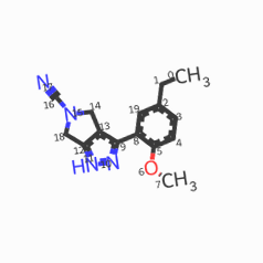 CCc1ccc(OC)c(-c2n[nH]c3c2CN(C#N)C3)c1